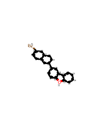 Brc1ccc2cc(-c3ccc4oc5ccccc5c4c3)ccc2c1